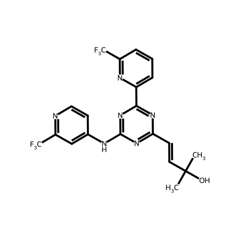 CC(C)(O)/C=C/c1nc(Nc2ccnc(C(F)(F)F)c2)nc(-c2cccc(C(F)(F)F)n2)n1